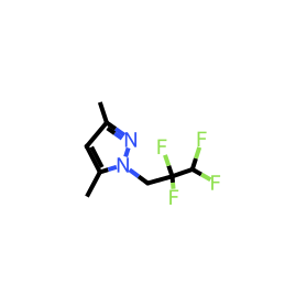 Cc1cc(C)n(CC(F)(F)C(F)F)n1